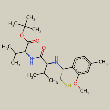 COc1cc(C)ccc1[C@H](CS)N[C@H](C(=O)N[C@H](C(=O)OC(C)(C)C)C(C)C)C(C)C